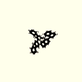 c1ccc2c3c(ccc2c1)-c1cccc2cccc(c12)N3c1nc(-c2ccc3c(c2)sc2ccccc23)c2oc3ccccc3c2n1